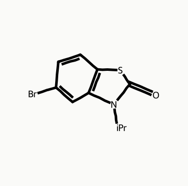 CC(C)n1c(=O)sc2ccc(Br)cc21